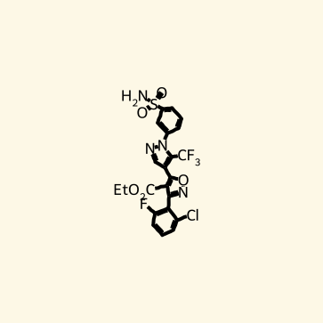 CCOC(=O)c1c(-c2c(F)cccc2Cl)noc1-c1cnn(-c2cccc(S(N)(=O)=O)c2)c1C(F)(F)F